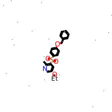 CCOc1cnc(C)c(S(=O)(=O)c2ccc(OCc3ccccc3)cc2)c1